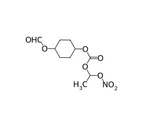 CC(OC(=O)OC1CCC(OC=O)CC1)O[N+](=O)[O-]